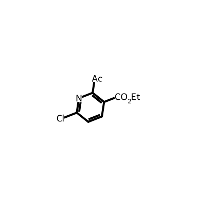 CCOC(=O)c1ccc(Cl)nc1C(C)=O